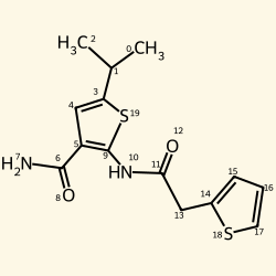 CC(C)c1cc(C(N)=O)c(NC(=O)Cc2cccs2)s1